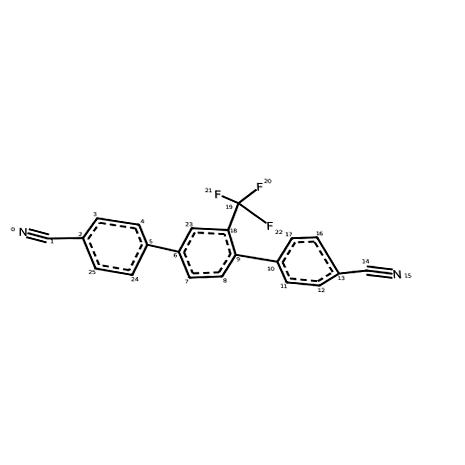 N#Cc1ccc(-c2ccc(-c3ccc(C#N)cc3)c(C(F)(F)F)c2)cc1